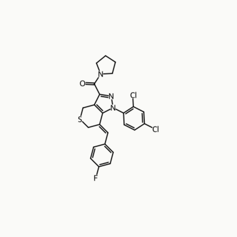 O=C(c1nn(-c2ccc(Cl)cc2Cl)c2c1CSCC2=Cc1ccc(F)cc1)N1CCCC1